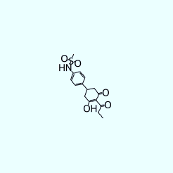 CCC(=O)C1=C(O)CC(c2ccc(NS(C)(=O)=O)cc2)CC1=O